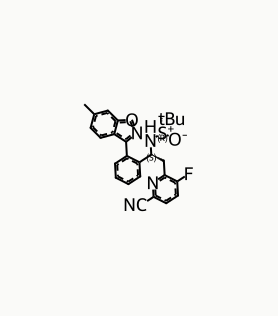 Cc1ccc2c(-c3ccccc3[C@H](Cc3nc(C#N)ccc3F)N[S@@+]([O-])C(C)(C)C)noc2c1